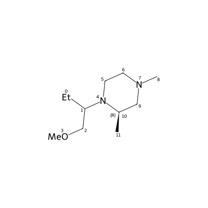 CCC(COC)N1CCN(C)C[C@H]1C